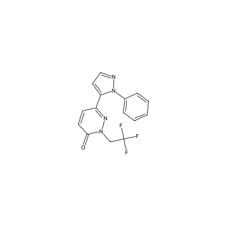 O=c1ccc(-c2ccnn2-c2ccccc2)nn1CC(F)(F)F